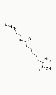 [N-]=[N+]=NCCNC(=O)CCCSC[C@H](N)C(=O)O